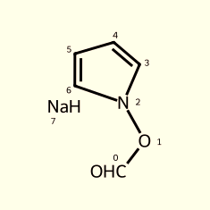 O=COn1cccc1.[NaH]